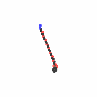 Cc1ccc(S(=O)(=O)OCCOCCOCCOCCOCCOCCOCCOCCOCCN=[N+]=[N-])cc1